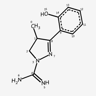 CC1CN(C(=N)N)N=C1c1ccccc1O